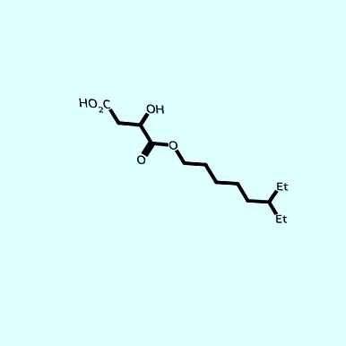 CCC(CC)CCCCCOC(=O)C(O)CC(=O)O